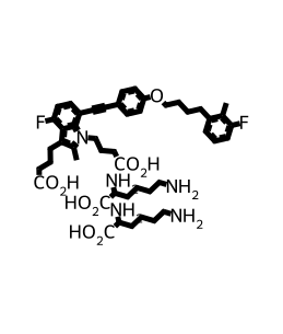 Cc1c(F)cccc1CCCCOc1ccc(C#Cc2ccc(F)c3c(CCCC(=O)O)c(C)n(CCCC(=O)O)c23)cc1.NCCCCC(N)C(=O)O.NCCCCC(N)C(=O)O